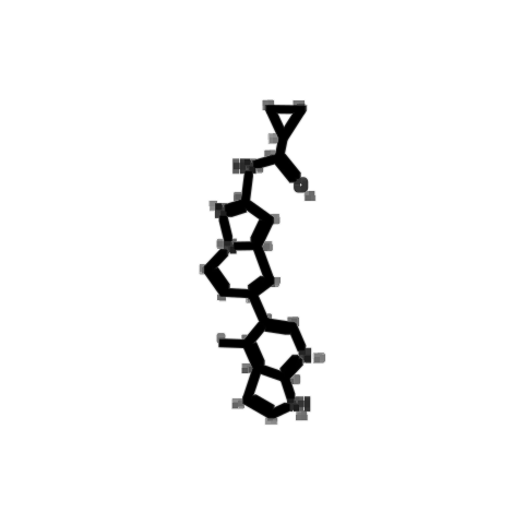 Cc1c(-c2ccn3nc(NC(=O)C4CC4)cc3c2)cnc2[nH]ccc12